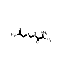 CC(=O)COCNC(=O)[C@H](C)N